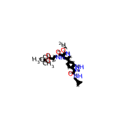 [2H]COc1ncc(-c2ccc3c(C(=O)NCC4CC4)n[nH]c3c2)cc1C(=O)NCCC(=O)OC(C)(C)C